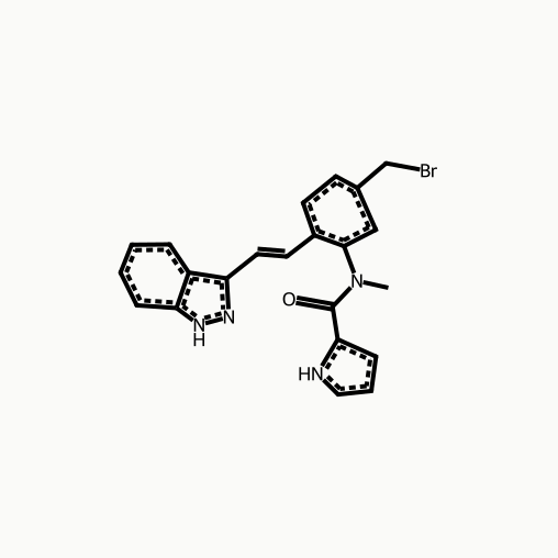 CN(C(=O)c1ccc[nH]1)c1cc(CBr)ccc1C=Cc1n[nH]c2ccccc12